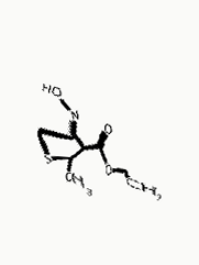 CCOC(=O)C1C(=NO)CSC1C